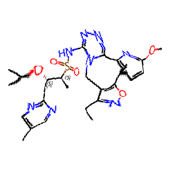 CCc1noc(C)c1Cn1c(NS(=O)(=O)[C@@H](C)[C@@H](OC(C)C)c2ncc(C)cn2)nnc1-c1cccc(OC)n1